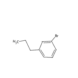 CCCc1[c]c(Br)ccc1